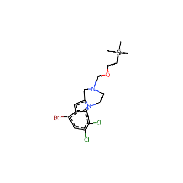 C[Si](C)(C)CCOCN1CCn2c(cc3c(Br)cc(Cl)c(Cl)c32)C1